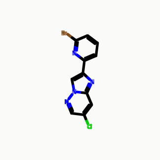 Clc1cnn2cc(-c3cccc(Br)n3)nc2c1